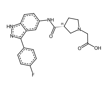 O=C(O)CN1CC[C@@H](C(=O)Nc2ccc3[nH]nc(-c4ccc(F)cc4)c3c2)C1